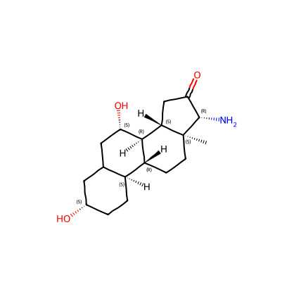 C[C@]12CC[C@H]3[C@@H]([C@@H](O)CC4C[C@@H](O)CC[C@@H]43)[C@@H]1CC(=O)[C@@H]2N